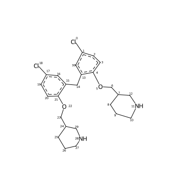 Clc1ccc(OCC2CCCNC2)c(Cc2cc(Cl)ccc2OCC2CCCNC2)c1